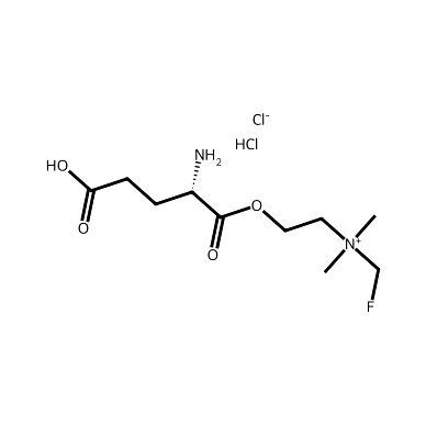 C[N+](C)(CF)CCOC(=O)[C@@H](N)CCC(=O)O.Cl.[Cl-]